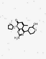 Cc1cc(=O)n([C@@H]2CCC[C@@H]2C)c2nc(N)nc(C3CCOC(O)C3)c12